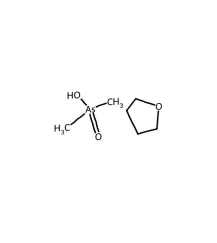 C1CCOC1.C[As](C)(=O)O